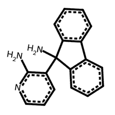 Nc1ncccc1C1(N)c2ccccc2-c2ccccc21